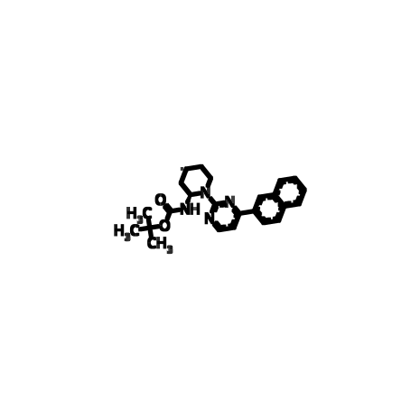 CC(C)(C)OC(=O)N[C@H]1C[CH]CCN1c1nccc(-c2ccc3ccccc3c2)n1